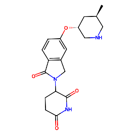 C[C@H]1CNC[C@H](Oc2ccc3c(c2)CN(C2CCC(=O)NC2=O)C3=O)C1